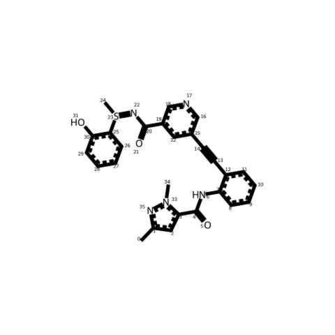 Cc1cc(C(=O)Nc2ccccc2C#Cc2cncc(C(=O)N=S(C)c3ccccc3O)c2)n(C)n1